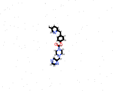 Cc1ccc(Cc2ccc(OC(=O)N3CCN(Cc4cnccn4)CC3)cc2)nc1